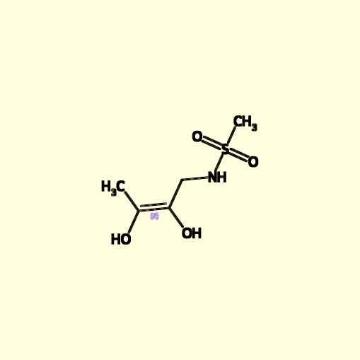 C/C(O)=C(/O)CNS(C)(=O)=O